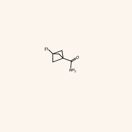 CCC12CC(C(N)=O)(C1)C2